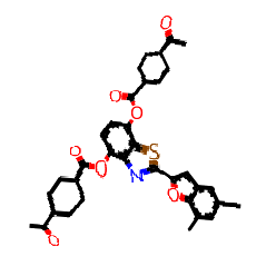 CC(=O)C1CCC(C(=O)Oc2ccc(OC(=O)C3CCC(C(C)=O)CC3)c3sc(-c4cc5cc(C)cc(C)c5o4)nc23)CC1